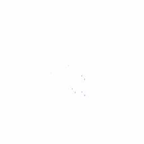 O=CC(=O)c1nncn1-c1ccccc1